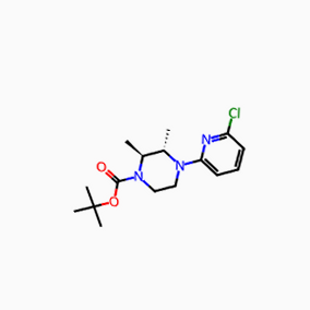 C[C@H]1[C@H](C)N(c2cccc(Cl)n2)CCN1C(=O)OC(C)(C)C